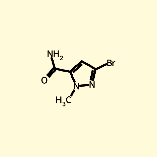 Cn1nc(Br)cc1C(N)=O